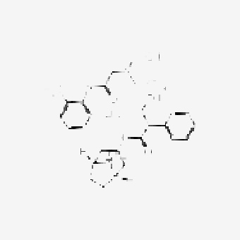 CCN(CC)CC(=O)Nc1c(C)cccc1C.CN1[C@@H]2CC[C@H]1C[C@@H](OC(=O)C(CO)c1ccccc1)C2